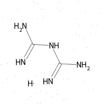 N=C(N)NC(=N)N.[H]